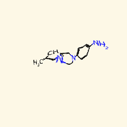 C[C](C)CN1CCN(c2ccc(N)cc2)CC1